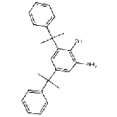 CC(C)(c1ccccc1)c1cc(N)c(O)c(C(C)(C)c2ccccc2)c1